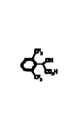 O=C(O)C(O)c1c(C(F)(F)F)cccc1C(F)(F)F